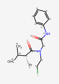 CC(C)[C@@H](C(=O)N(CCF)CC(=O)Nc1ccccc1)C(C)C=O